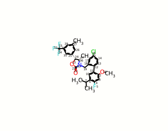 COc1cc(F)c(C(C)C)cc1-c1ccc(Cl)cc1CN1C(=O)O[C@H](c2cc(C)cc(C(F)(F)F)c2)[C@@H]1C